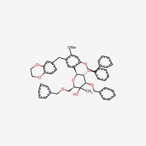 COc1cc(OCc2ccccc2)c([C@@H]2O[C@H](COCc3ccccc3)C(C)(O)[C@H](OCc3ccccc3)[C@H]2OCc2ccccc2)cc1Cc1ccc2c(c1)OCCO2